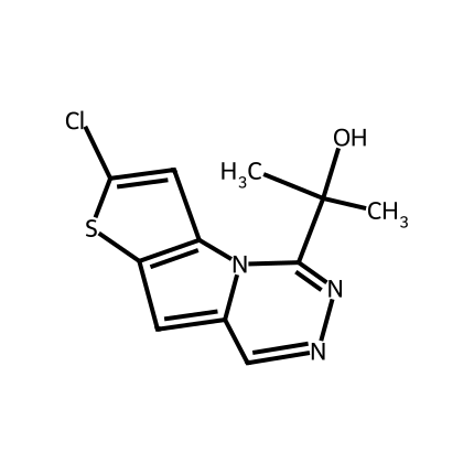 CC(C)(O)c1nncc2cc3sc(Cl)cc3n12